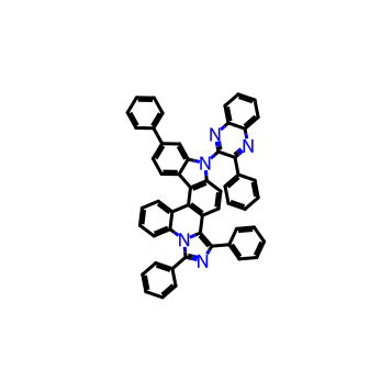 c1ccc(-c2ccc3c4c5c6ccccc6n6c(-c7ccccc7)nc(-c7ccccc7)c6c5ccc4n(-c4nc5ccccc5nc4-c4ccccc4)c3c2)cc1